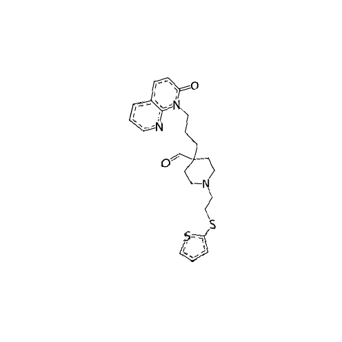 O=CC1(CCCn2c(=O)ccc3cccnc32)CCN(CCSc2cccs2)CC1